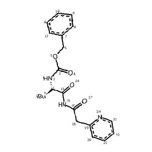 CC[C@H](C)[C@H](NC(=O)OCc1ccccc1)C(=O)NC(=O)Cc1ccccn1